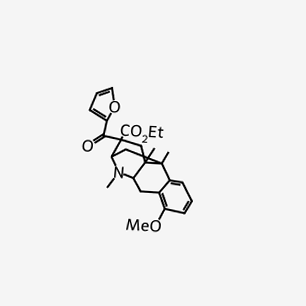 CCOC(=O)C1(C(=O)c2ccco2)CC2(C)C3Cc4c(OC)cccc4C2(C)CC1N3C